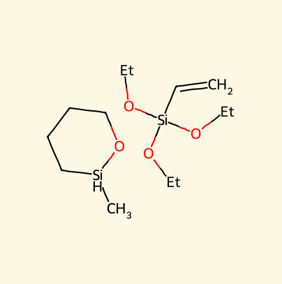 C=C[Si](OCC)(OCC)OCC.C[SiH]1CCCCO1